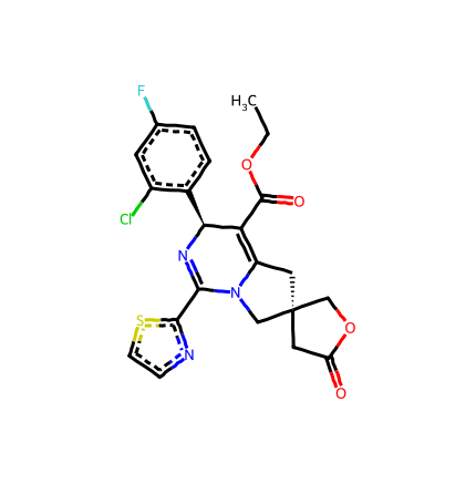 CCOC(=O)C1=C2C[C@@]3(COC(=O)C3)CN2C(c2nccs2)=N[C@H]1c1ccc(F)cc1Cl